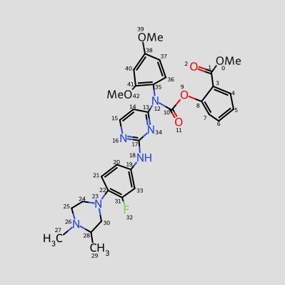 COC(=O)c1ccccc1OC(=O)N(c1ccnc(Nc2ccc(N3CCN(C)C(C)C3)c(F)c2)n1)c1ccc(OC)cc1OC